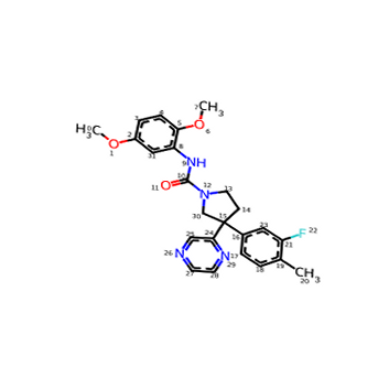 COc1ccc(OC)c(NC(=O)N2CCC(c3ccc(C)c(F)c3)(c3cnccn3)C2)c1